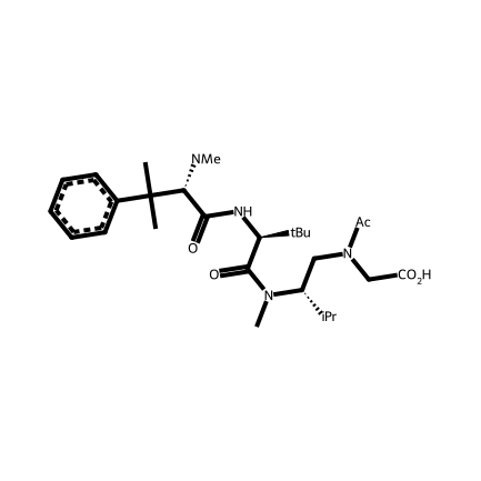 CN[C@H](C(=O)N[C@H](C(=O)N(C)[C@H](CN(CC(=O)O)C(C)=O)C(C)C)C(C)(C)C)C(C)(C)c1ccccc1